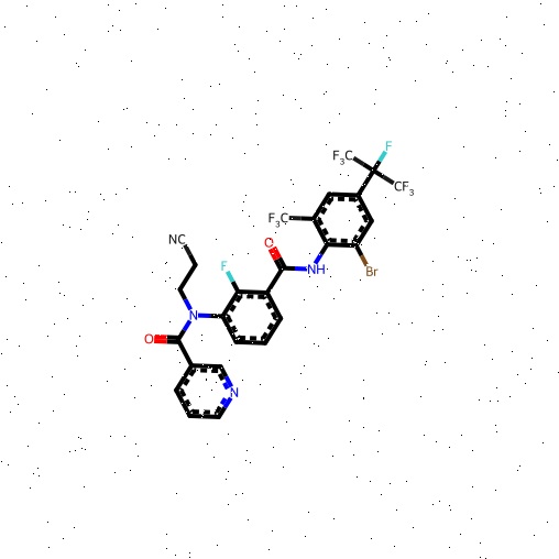 N#CCCN(C(=O)c1cccnc1)c1cccc(C(=O)Nc2c(Br)cc(C(F)(C(F)(F)F)C(F)(F)F)cc2C(F)(F)F)c1F